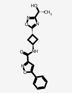 C[C@@H](O)c1noc([C@H]2C[C@H](NC(=O)c3cc(-c4ccccc4)on3)C2)n1